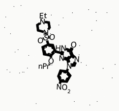 CCCOc1ccc(S(=O)(=O)N2CCN(CC)CC2)cc1-c1nc2c(ncn2-c2ccc([N+](=O)[O-])cc2)c(=O)[nH]1